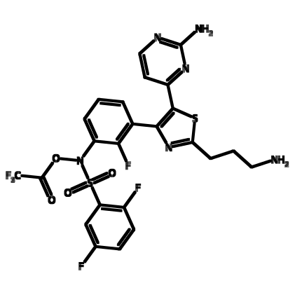 NCCCc1nc(-c2cccc(N(OC(=O)C(F)(F)F)S(=O)(=O)c3cc(F)ccc3F)c2F)c(-c2ccnc(N)n2)s1